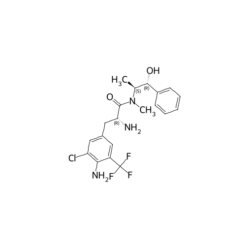 C[C@@H]([C@H](O)c1ccccc1)N(C)C(=O)[C@H](N)Cc1cc(Cl)c(N)c(C(F)(F)F)c1